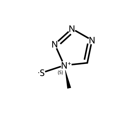 C[N@+]1([S])C=NN=N1